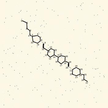 CCCCC[C@H]1CC[C@H](C=CC2CCC(C3CCC(C=C[C@H]4CC[C@H](CCC)CC4)CC3)CC2)CC1